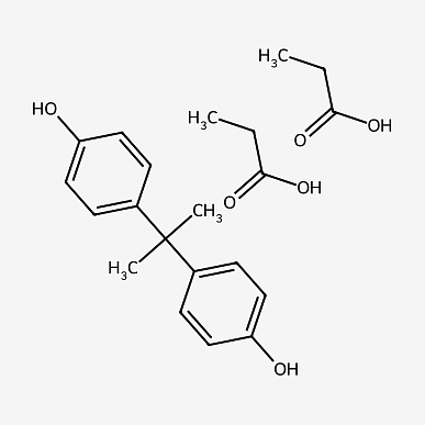 CC(C)(c1ccc(O)cc1)c1ccc(O)cc1.CCC(=O)O.CCC(=O)O